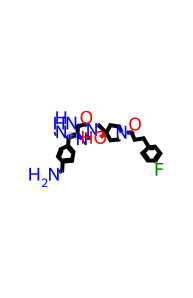 CN/C(=C1/N=CN(CC2(O)CCN(C(=O)CCc3ccc(F)cc3)CC2)C(=O)C1=N)c1ccc(CN)cc1